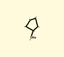 [CH2]SC1CCCC1